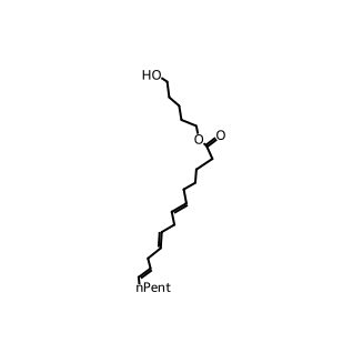 CCCCCC=CCC=CCC=CCCCCC(=O)OCCCCCO